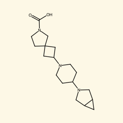 O=C(O)N1CCC2(CC(N3CCC(N4CC5CC5C4)CC3)C2)C1